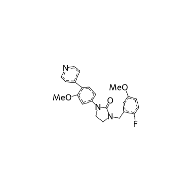 COc1ccc(F)c(CN2CCN(c3ccc(-c4ccncc4)c(OC)c3)C2=O)c1